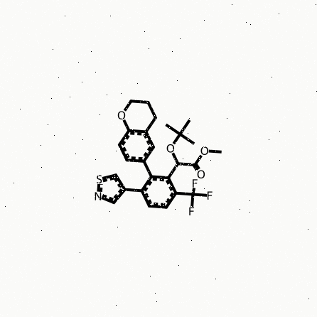 COC(=O)C(OC(C)(C)C)c1c(C(F)(F)F)ccc(-c2cnsc2)c1-c1ccc2c(c1)CCCO2